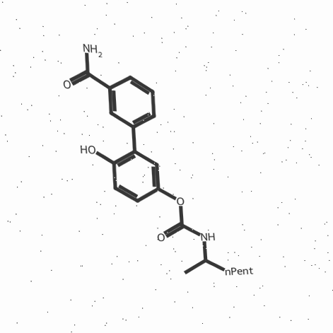 CCCCCC(C)NC(=O)Oc1ccc(O)c(-c2cccc(C(N)=O)c2)c1